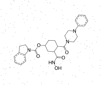 O=C(NO)C1CC(OC(=O)N2CCc3ccccc32)CCC1C(=O)N1CCN(c2ccccc2)CC1